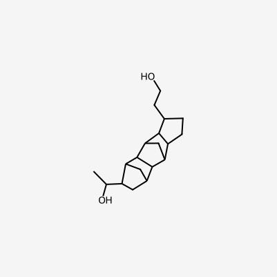 CC(O)C1CC2CC1C1C3CC(C4CCC(CCO)C43)C21